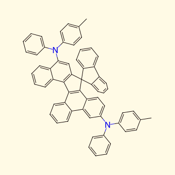 Cc1ccc(N(c2ccccc2)c2ccc3c4c(c5ccccc5c3c2)-c2c(cc(N(c3ccccc3)c3ccc(C)cc3)c3ccccc23)C42c3ccccc3-c3ccccc32)cc1